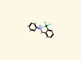 FC(F)(F)c1ccccc1CNc1ccccc1